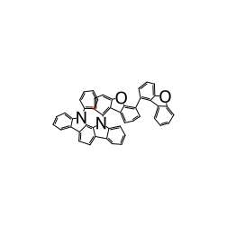 c1ccc(-n2c3ccccc3c3ccc4c5ccccc5n(-c5cccc6oc7c(-c8cccc9oc%10ccccc%10c89)cccc7c56)c4c32)cc1